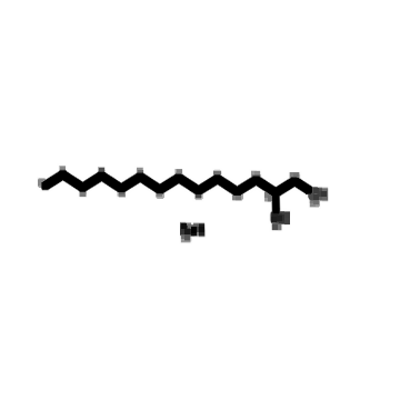 CCCCCCCCCCCCC(O)CO.[NaH]